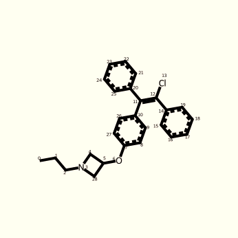 CCCN1CC(Oc2ccc(/C(=C(/Cl)c3ccccc3)c3ccccc3)cc2)C1